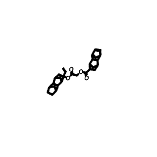 CCC1(OC(=O)COC(=O)C2CC3CC2C2C4C=CC(C4)C32)CC2CC1C1C3CCC(C3)C21